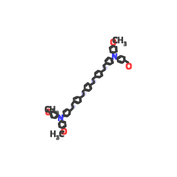 COc1ccc(N(c2ccc(C=O)cc2)c2ccc(/C=C/c3ccc(/C=C/c4ccc(/C=C/c5ccc(/C=C/c6ccc(N(c7ccc(OC)cc7)c7ccc(OC)cc7)cc6)cc5)cc4)cc3)cc2)cc1